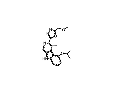 COCc1nnc(-c2ncc3[nH]c4cccc(OC(C)C)c4c3c2C)o1